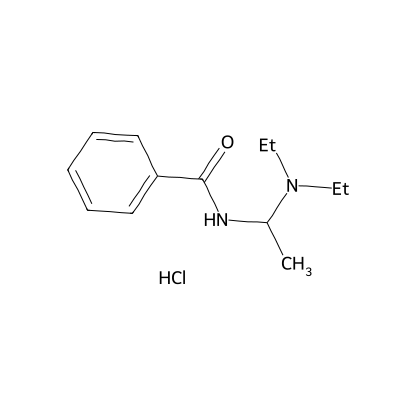 CCN(CC)C(C)NC(=O)c1ccccc1.Cl